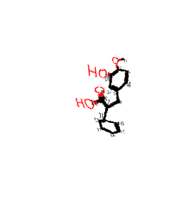 COc1ccc(CC(C(=O)O)c2ccccc2)cc1O